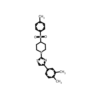 Cc1ccc(S(=O)(=O)C2CCN(c3nc(-c4ccc(C)c(C)c4)cs3)CC2)cc1